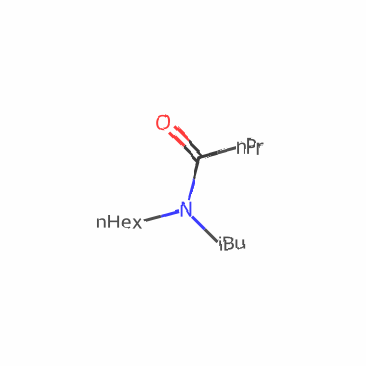 CCCCCCN(C(=O)CCC)C(C)CC